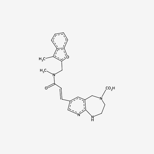 Cc1c(CN(C)C(=O)C=Cc2cnc3c(c2)CN(C(=O)O)CCN3)oc2ccccc12